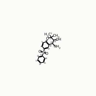 CC1(C)Oc2ccc(S(=O)(=O)c3ccccc3)cc2C(N)C1O